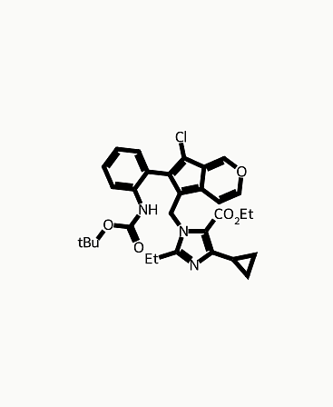 CCOC(=O)c1c(C2CC2)nc(CC)n1Cc1c2ccocc-2c(Cl)c1-c1ccccc1NC(=O)OC(C)(C)C